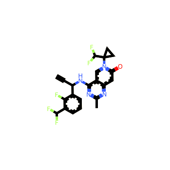 C#CC(Nc1nc(C)nc2cc(=O)n(C3(C(F)F)CC3)cc12)c1cccc(C(F)F)c1F